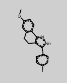 COc1ccc2c(c1)CCc1c-2n[nH]c1-c1ccc(C)cc1